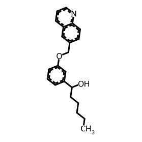 CCCCCC(O)c1cccc(OCc2ccc3ncccc3c2)c1